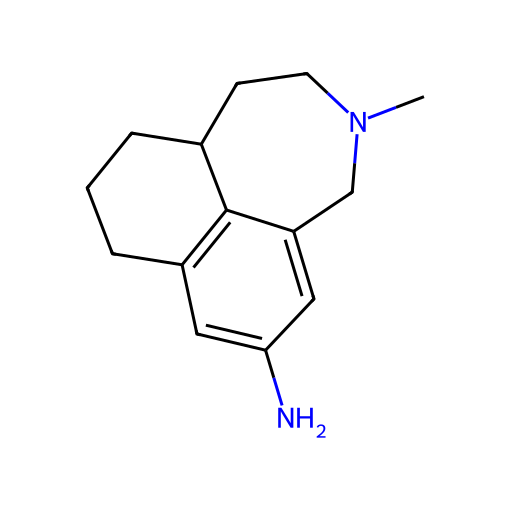 CN1CCC2CCCc3cc(N)cc(c32)C1